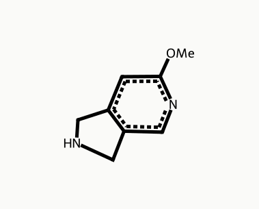 COc1cc2c(cn1)CNC2